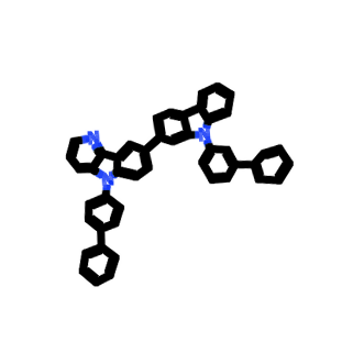 c1ccc(-c2ccc(-n3c4ccc(-c5ccc6c7ccccc7n(-c7cccc(-c8ccccc8)c7)c6c5)cc4c4ncccc43)cc2)cc1